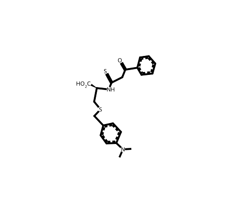 CN(C)c1ccc(CSC[C@H](NC(=S)CC(=O)c2ccccc2)C(=O)O)cc1